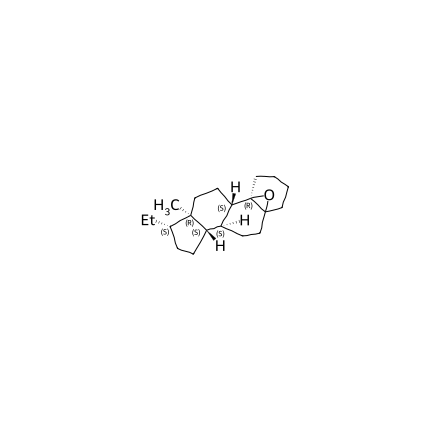 CC[C@H]1CC[C@H]2[C@@H]3CCC45CCCC[C@@]4(O5)[C@H]3CC[C@]12C